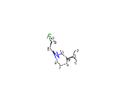 CC(C)[C@H]1CCCN(CCF)C1